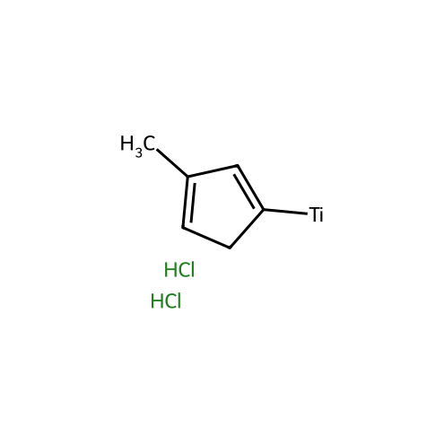 CC1=CC[C]([Ti])=C1.Cl.Cl